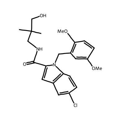 COc1ccc(OC)c(Cn2c(C(=O)NCC(C)(C)CO)cc3cc(Cl)ccc32)c1